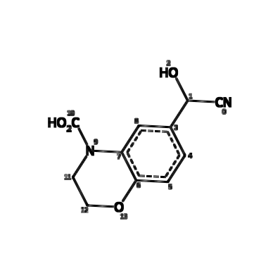 N#CC(O)c1ccc2c(c1)N(C(=O)O)CCO2